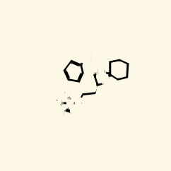 NS(=O)(=O)OCC[C@@H]1OC2(CCCCC2)O[C@H]1c1ccccc1Cl